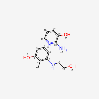 Cc1c(O)cccc1NCCO.Nc1ncccc1O